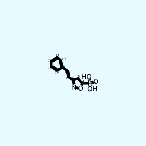 O=P(O)(O)C1CC(/C=C/c2ccccc2)=NO1